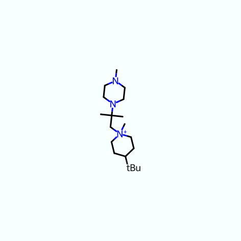 CN1CCN(C(C)(C)C[N+]2(C)CCC(C(C)(C)C)CC2)CC1